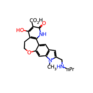 CCCNCc1cc2cc3c(cc2n1C)OCCc1c-3[nH]c(=O)c(C(=O)O)c1O